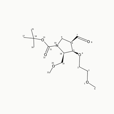 COCCO[C@@H]1[C@H](C=O)CN(C(=O)OC(C)(C)C)[C@@H]1COC